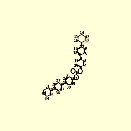 O=C(Oc1ccc(-c2ccc(C3CCCCC3)cc2)cc1)Oc1ccc(-c2ccc(C3CCCCC3)cc2)cc1